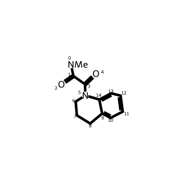 CNC(=O)C(=O)N1CCCc2ccccc21